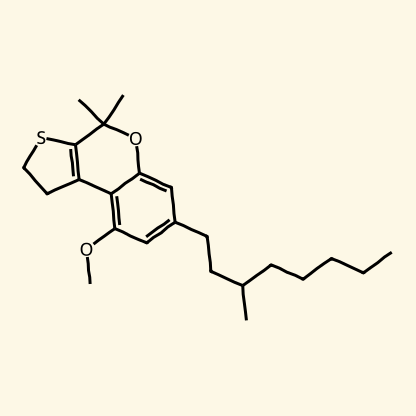 CCCCCC(C)CCc1cc(OC)c2c(c1)OC(C)(C)C1=C2CCS1